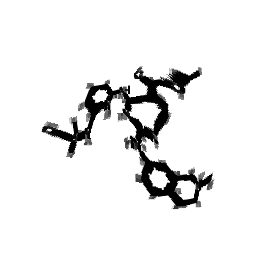 CCOC(=O)c1cnc(Nc2ccc3c(c2)CN(C)CC3)nc1Nc1cccc(N=S(C)(C)=O)n1